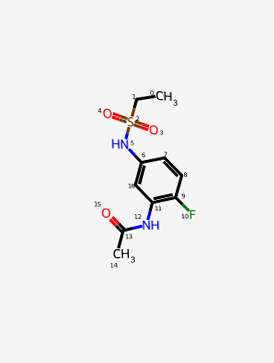 CCS(=O)(=O)Nc1ccc(F)c(NC(C)=O)c1